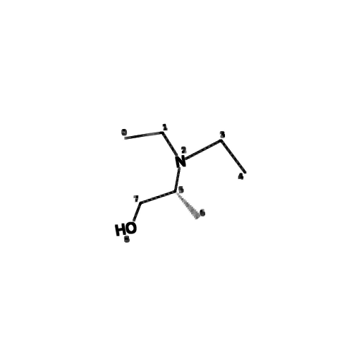 CCN(CC)[C@H](C)CO